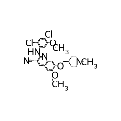 CCOc1cc2cc(C#N)c(Nc3cc(OC)c(Cl)cc3Cl)nc2cc1OCC1CCN(C)CC1